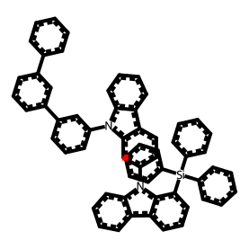 c1ccc(-c2cccc(-c3cccc(-n4c5ccccc5c5ccc(-n6c7ccccc7c7cccc([Si](c8ccccc8)(c8ccccc8)c8ccccc8)c76)cc54)c3)c2)cc1